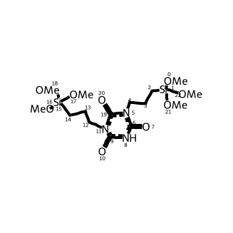 CO[Si](CCCn1c(=O)[nH]c(=O)n(CCC[Si](OC)(OC)OC)c1=O)(OC)OC